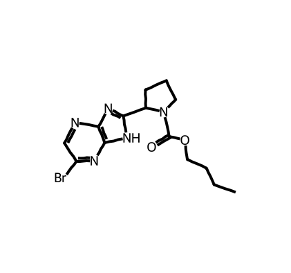 CCCCOC(=O)N1CCCC1c1nc2ncc(Br)nc2[nH]1